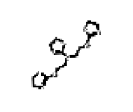 C1COC(NCCN(CCNC2=NCCO2)C2=NCCO2)=N1